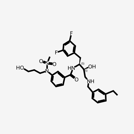 CCc1cccc(CNC[C@H](O)[C@H](Cc2cc(F)cc(F)c2)NC(=O)c2cccc(N(CCCO)S(C)(=O)=O)c2)c1